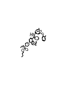 CCCCOC(=O)N(CC)C1CCN(c2ccc(C(=O)Nc3cc(Oc4ccccc4C)c4nc(C)cn4c3)c3nn(C)cc23)CC1